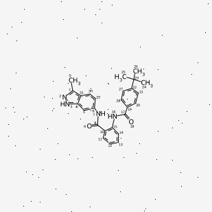 Cc1n[nH]c2cc(NC(=O)c3ccccc3NC(=O)c3ccc(C(C)(C)C)cc3)ccc12